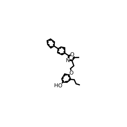 CCCc1cc(O)ccc1OCCc1nc(-c2ccc(-c3ccccc3)cc2)oc1C